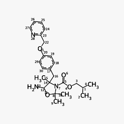 CC(C)COC(=O)N1C(C)(C)OC(N)C1(C)Cc1ccc(OCc2ccccn2)cc1